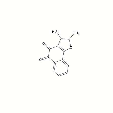 CC1OC2=C(C(=O)C(=O)c3ccccc32)C1P